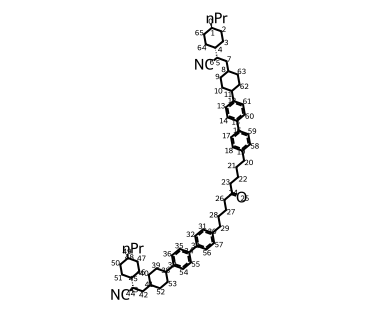 CCC[C@H]1CC[C@H](C(C#N)CC2CCC(c3ccc(-c4ccc(CCCCC(=O)CCCCc5ccc(-c6ccc(C7CCC(CC(C#N)[C@H]8CC[C@H](CCC)CC8)CC7)cc6)cc5)cc4)cc3)CC2)CC1